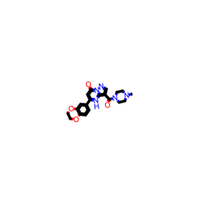 CN1CCN(C(=O)c2cnn3c(=O)cc(-c4ccc5c(c4)OCCO5)[nH]c23)CC1